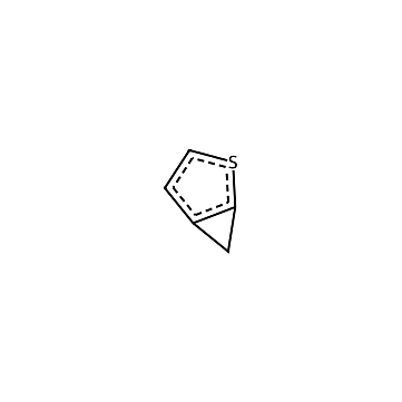 c1cc2c(s1)C2